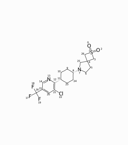 O=S1(=O)CC2(CCN([C@H]3CC[C@@H](c4ncc(C(F)(F)F)cc4Cl)CC3)C2)C1